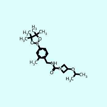 Cc1cc(B2OC(C)(C)C(C)(C)O2)ccc1CNC(=O)N1CC(OC(C)C)C1